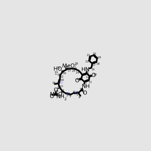 CO[C@H]1/C=C\C=C(/C)C(=O)NC2=CC(=O)C(NCc3ccccc3)=C(C[C@@H](C)C[C@H](OC)[C@H](O)[C@@H](C)/C=C(\C)[C@@H]1OC(N)=O)C2=O